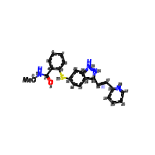 CONC(=O)c1ccccc1Sc1ccc2c(/C=C/c3ccccn3)n[nH]c2c1